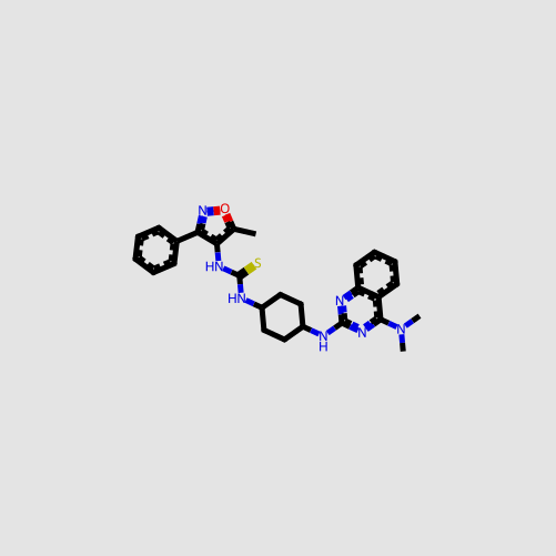 Cc1onc(-c2ccccc2)c1NC(=S)NC1CCC(Nc2nc(N(C)C)c3ccccc3n2)CC1